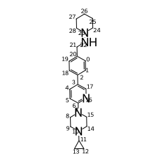 c1cc(-c2ccc(N3CCN(C4CC4)CC3)nc2)ccc1CNN1CCCCC1